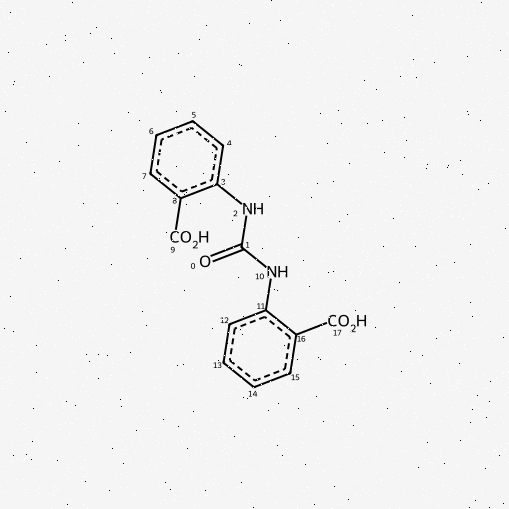 O=C(Nc1ccccc1C(=O)O)Nc1ccccc1C(=O)O